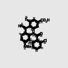 CNc1cnc(C(=N)c2ccc(C(=O)O)cc2F)c(NC(=O)c2c(Cl)cccc2C(F)(F)F)c1